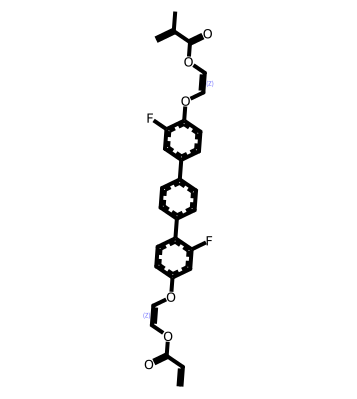 C=CC(=O)O/C=C\Oc1ccc(-c2ccc(-c3ccc(O/C=C\OC(=O)C(=C)C)c(F)c3)cc2)c(F)c1